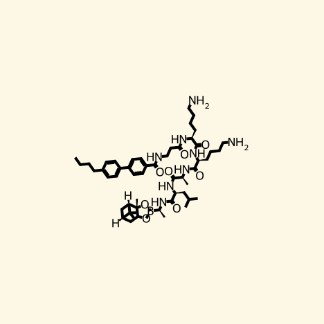 CCCCc1ccc(-c2ccc(C(=O)NCCC(=O)N[C@@H](CCCCN)C(=O)N[C@@H](CCCCN)C(=O)N[C@@H](C)C(=O)N[C@@H](CC(C)C)C(=O)N[C@@H](C)B3OC4C[C@@H]5C[C@@H](C5(C)C)[C@]4(C)O3)cc2)cc1